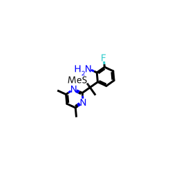 CSC(C)(c1nc(C)cc(C)n1)c1cccc(F)c1N